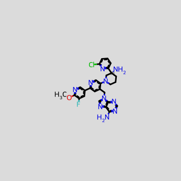 COc1ncc(-c2cc(Cn3cnc4c(N)ncnc43)c(N3CCC[C@](N)(c4cccc(Cl)n4)C3)cn2)cc1F